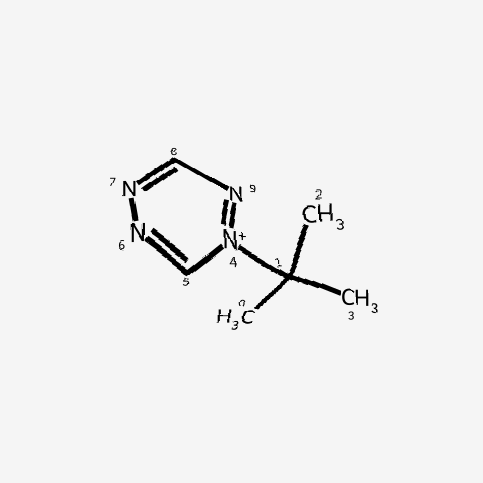 CC(C)(C)[n+]1cnncn1